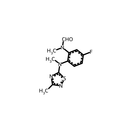 Cc1nsc(N(C)c2ccc(F)cc2N(C)C=O)n1